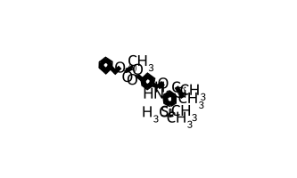 C[C@H](OC(=O)c1ccc(C(=O)Nc2cc([Si](C)(C)C)cc([Si](C)(C)C)c2)cc1)C(=O)OCc1ccccc1